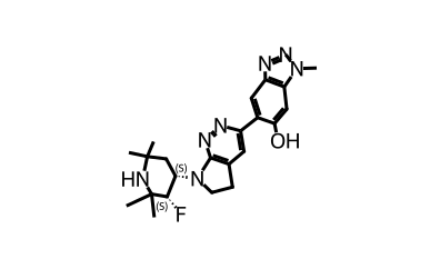 Cn1nnc2cc(-c3cc4c(nn3)N([C@H]3CC(C)(C)NC(C)(C)[C@H]3F)CC4)c(O)cc21